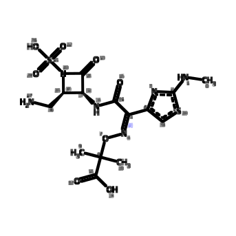 CNc1nc(/C(=N/OC(C)(C)C(=O)O)C(=O)N[C@@H]2C(=O)N(S(=O)(=O)O)[C@@H]2CN)cs1